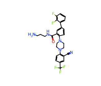 N#Cc1cc(C(F)(F)F)ccc1N1CCN(c2ccc(-c3cccc(F)c3F)cc2C(=O)NCCCN)CC1